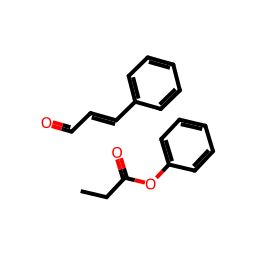 CCC(=O)Oc1ccccc1.O=CC=Cc1ccccc1